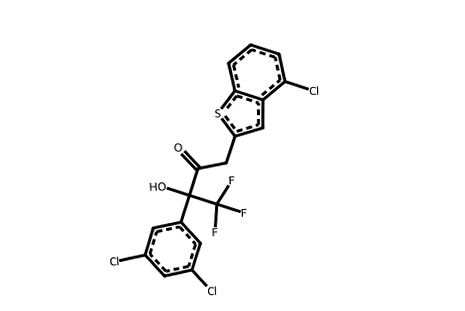 O=C(Cc1cc2c(Cl)cccc2s1)C(O)(c1cc(Cl)cc(Cl)c1)C(F)(F)F